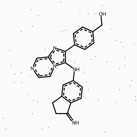 N=C1CCc2cc(Nc3c(-c4ccc(CO)cc4)nc4cnccn34)ccc21